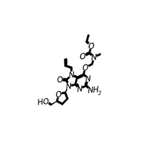 C=CCn1c(=O)n([C@H]2CC[C@@H](CO)O2)c2nc(N)nc(OCN(C)C(=O)OCC)c21